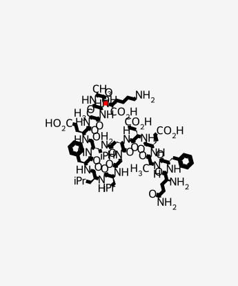 CC(C)C[C@H](NC(=O)CNC(=O)[C@H](CC(N)=O)NC(=O)[C@H](CCC(=O)O)NC(=O)[C@H](CCC(=O)O)NC(=O)[C@H](C)NC(=O)[C@H](Cc1ccccc1)NC(=O)[C@@H](N)CCC(N)=O)C(=O)N[C@@H](CC(C)C)C(=O)N[C@@H](Cc1ccccc1)C(=O)N[C@@H](CC(C)C)C(=O)N[C@@H](CCC(=O)O)C(=O)N[C@@H](C)C(=O)N[C@@H](CO)C(=O)N[C@@H](C)C(=O)N[C@@H](CCCCN)C(=O)O